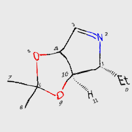 CC[C@H]1N=CC2OC(C)(C)O[C@@H]21